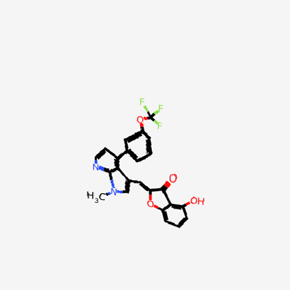 Cn1cc(/C=C2\Oc3cccc(O)c3C2=O)c2c(-c3cccc(OC(F)(F)F)c3)ccnc21